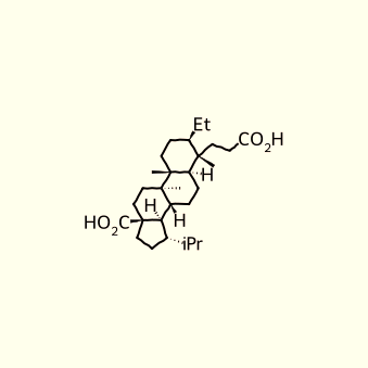 CC[C@@H]1CC[C@]2(C)[C@H](CC[C@@H]3[C@H]4[C@H](C(C)C)CC[C@]4(C(=O)O)CC[C@]32C)[C@@]1(C)CCC(=O)O